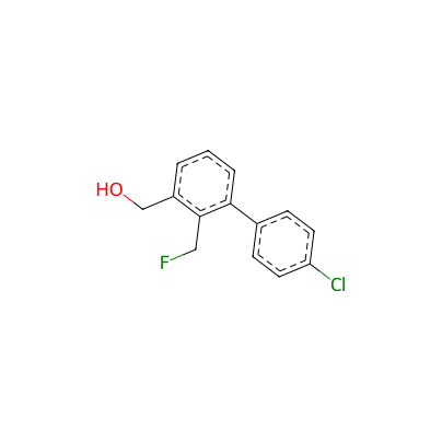 OCc1cccc(-c2ccc(Cl)cc2)c1CF